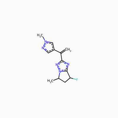 C=C(c1cnn(C)c1)c1nc2n(n1)C(C)CC2F